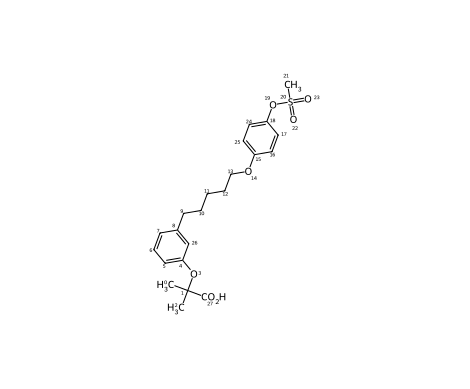 CC(C)(Oc1cccc(CCCCCOc2ccc(OS(C)(=O)=O)cc2)c1)C(=O)O